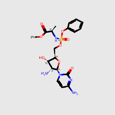 CC(C)OC(=O)[C@@H](C)N[P@@](=O)(OC[C@H]1O[C@@H](n2ccc(N)nc2=O)[C@H](N)[C@@H]1O)Oc1ccccc1